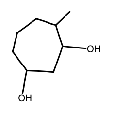 CC1CCCC(O)CC1O